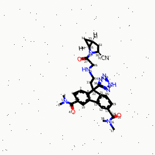 CN(C)C(=O)c1ccc2c(c1)-c1cc(C(=O)N(C)C)ccc1C2(CCNCC(=O)N1[C@H](C#N)C[C@@H]2C[C@@H]21)c1nn[nH]n1